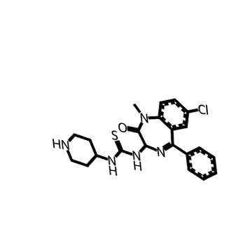 CN1C(=O)C(NC(=S)NC2CCNCC2)N=C(c2ccccc2)c2cc(Cl)ccc21